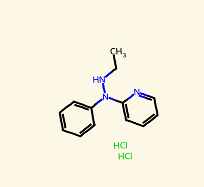 CCNN(c1ccccc1)c1ccccn1.Cl.Cl